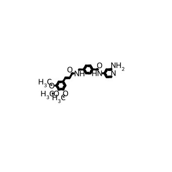 COc1cc(C=CC(=O)NCc2ccc(C(=O)Nc3ccnc(N)c3)cc2)cc(OC)c1OC